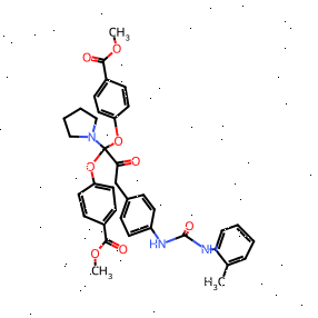 COC(=O)c1ccc(OC(Oc2ccc(C(=O)OC)cc2)(C(=O)Cc2ccc(NC(=O)Nc3ccccc3C)cc2)N2CCCC2)cc1